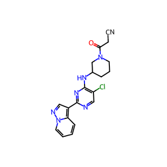 N#CCC(=O)N1CCCC(Nc2nc(-c3cnn4ccccc34)ncc2Cl)C1